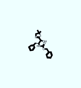 CC1(C)CN=C(C(O)[C@H](Cc2ccccc2)NC(=O)OCc2ccccc2)S1